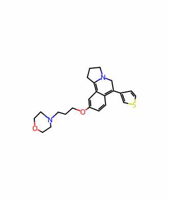 c1cc(C2=c3ccc(OCCCN4CCOCC4)cc3=C3CCCN3C2)cs1